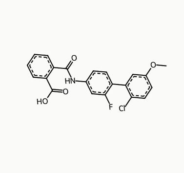 COc1ccc(Cl)c(-c2ccc(NC(=O)c3ccccc3C(=O)O)cc2F)c1